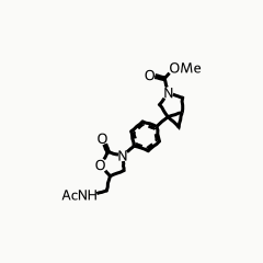 COC(=O)N1CC2CC2(c2ccc(N3CC(CNC(C)=O)OC3=O)cc2)C1